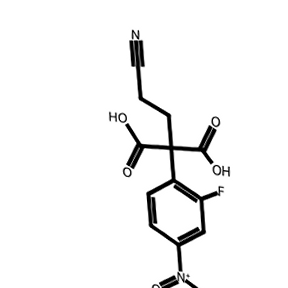 N#CCCC(C(=O)O)(C(=O)O)c1ccc([N+](=O)[O-])cc1F